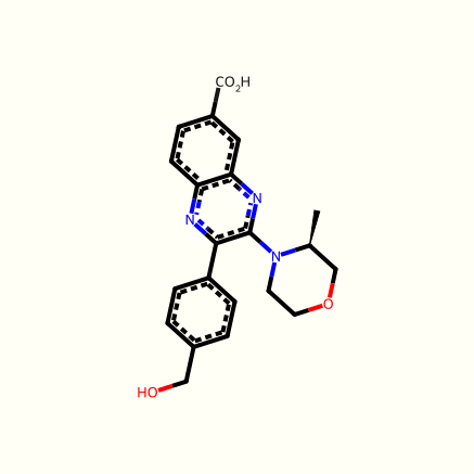 C[C@H]1COCCN1c1nc2cc(C(=O)O)ccc2nc1-c1ccc(CO)cc1